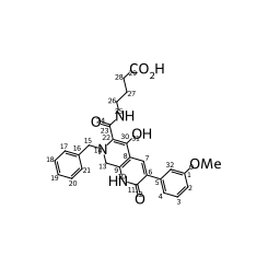 COc1cccc(-c2cc3c([nH]c2=O)CN(Cc2ccccc2)C(C(=O)NCCCC(=O)O)=C3O)c1